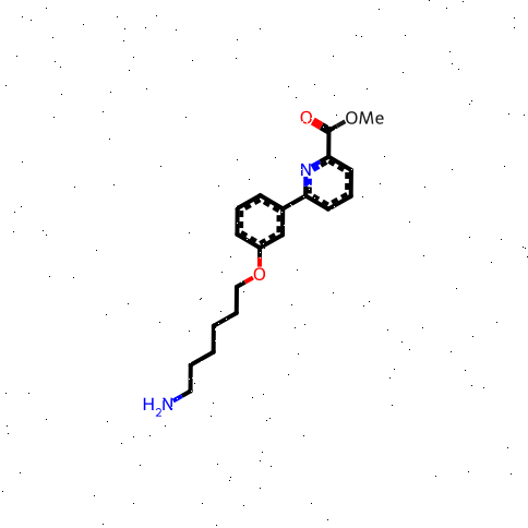 COC(=O)c1cccc(-c2cccc(OCCCCCCN)c2)n1